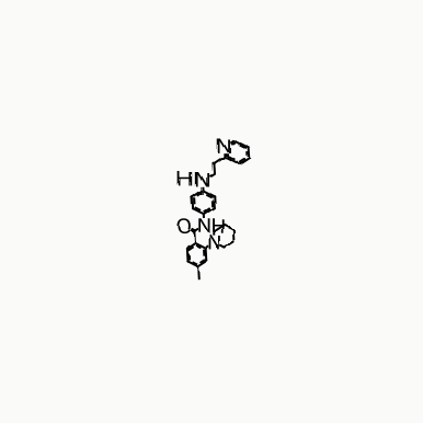 Cc1ccc(C(=O)Nc2ccc(NCCc3ccccn3)cc2)c(N2CCCCC2)c1